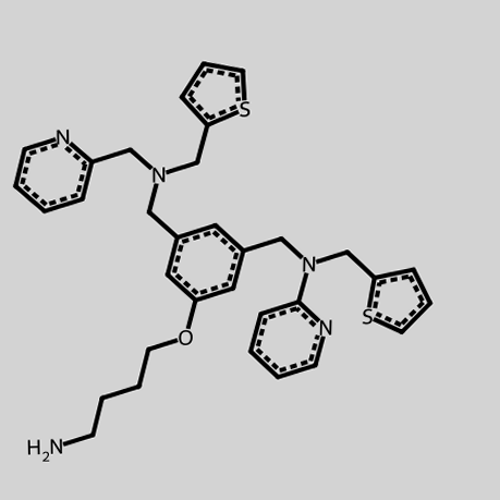 NCCCCOc1cc(CN(Cc2ccccn2)Cc2cccs2)cc(CN(Cc2cccs2)c2ccccn2)c1